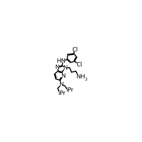 CC(C)CN(CC(C)C)c1ccc2nc(Nc3cc(Cl)cc(Cl)c3)n(CCCN)c2n1